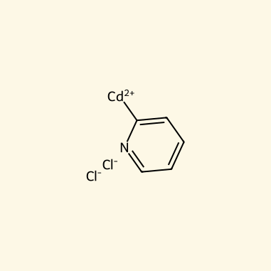 [Cd+2][c]1ccccn1.[Cl-].[Cl-]